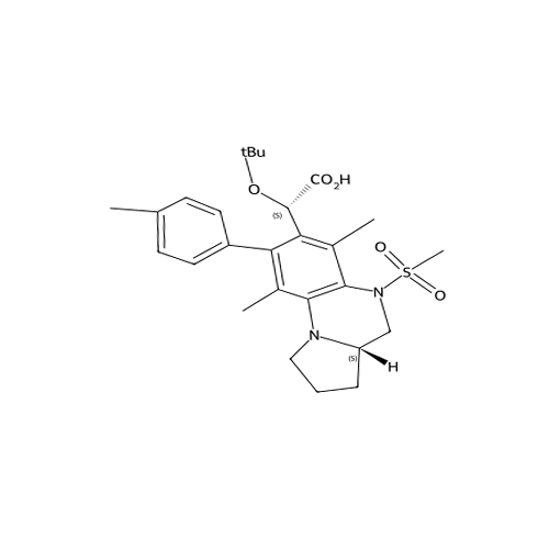 Cc1ccc(-c2c(C)c3c(c(C)c2[C@H](OC(C)(C)C)C(=O)O)N(S(C)(=O)=O)C[C@@H]2CCCN32)cc1